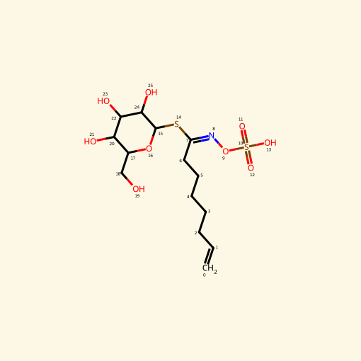 C=CCCCCC/C(=N\OS(=O)(=O)O)SC1OC(CO)C(O)C(O)C1O